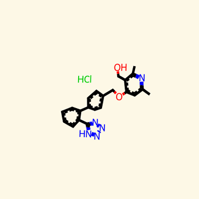 Cc1cc(OCc2ccc(-c3ccccc3-c3nnn[nH]3)cc2)c(CO)c(C)n1.Cl